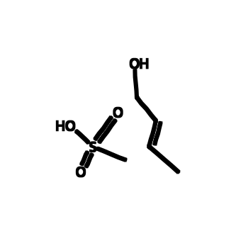 CC=CCO.CS(=O)(=O)O